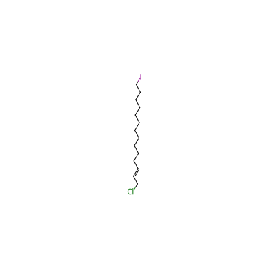 ClCC=CCCCCCCCCCCCI